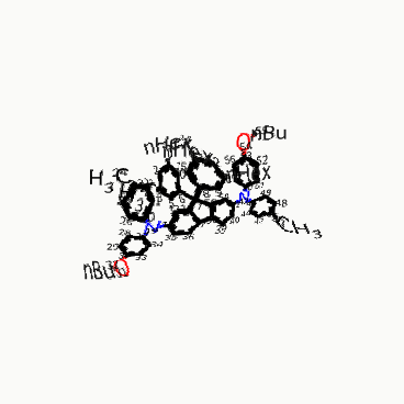 CCCCCCc1cc(C)cc(C2(c3cc(CCCCCC)cc(CCCCCC)c3)c3cc(N(c4ccc(C)cc4)c4ccc(OCCCC)cc4)ccc3-c3ccc(N(c4ccc(C)cc4)c4ccc(OCCCC)cc4)cc32)c1